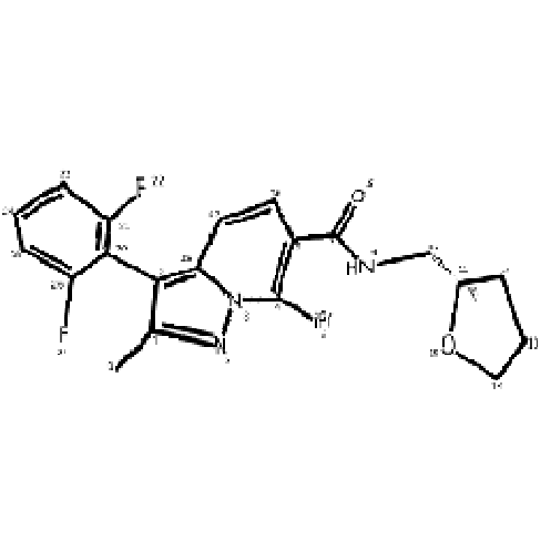 Cc1nn2c(C(C)C)c(C(=O)NC[C@@H]3CCCO3)ccc2c1-c1c(F)cccc1F